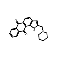 O=C1c2ccccc2C(=O)c2c1ccc1nc(CN3CCCCC3)[nH]c21